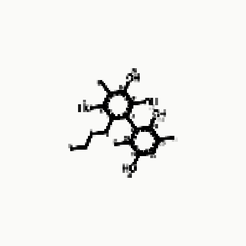 CCCCc1c(O)c(C)c(O)c(O)c1-c1c(C)c(O)cc(C)c1O